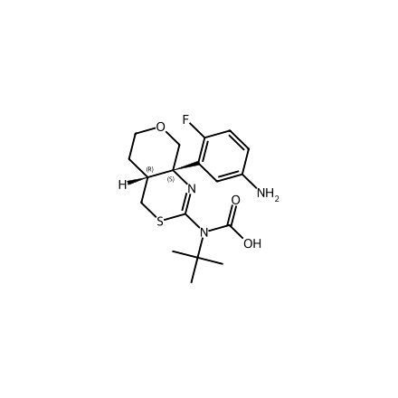 CC(C)(C)N(C(=O)O)C1=N[C@@]2(c3cc(N)ccc3F)COCC[C@H]2CS1